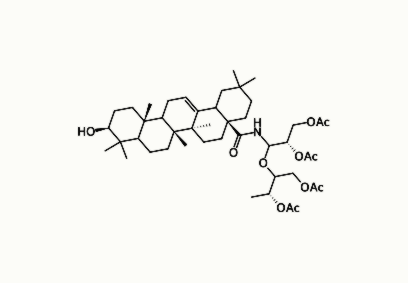 CC(=O)OCC(OC(NC(=O)[C@]12CCC(C)(C)CC1C1=CCC3[C@@]4(C)CC[C@H](O)C(C)(C)C4CC[C@@]3(C)[C@]1(C)CC2)[C@H](COC(C)=O)OC(C)=O)[C@@H](C)OC(C)=O